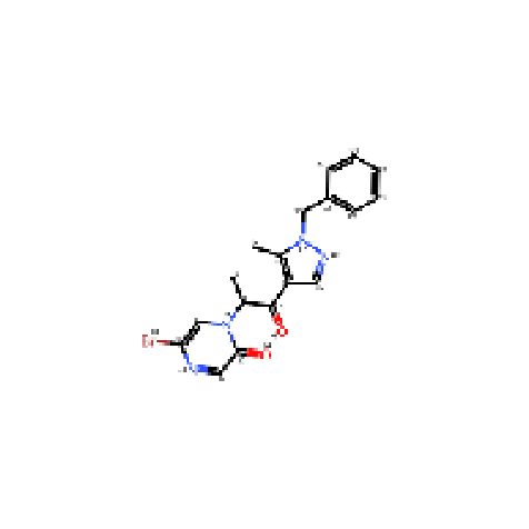 Cc1c(C(=O)C(C)n2cc(Br)ncc2=O)cnn1Cc1ccccc1